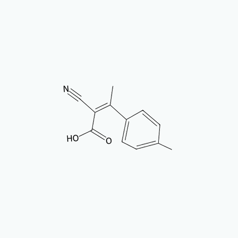 CC(=C(C#N)C(=O)O)c1ccc(C)cc1